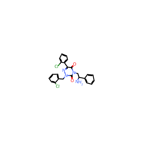 NC(Cn1c(=O)c(-c2ccccc2Cl)nn(Cc2ccccc2Cl)c1=O)c1ccccc1